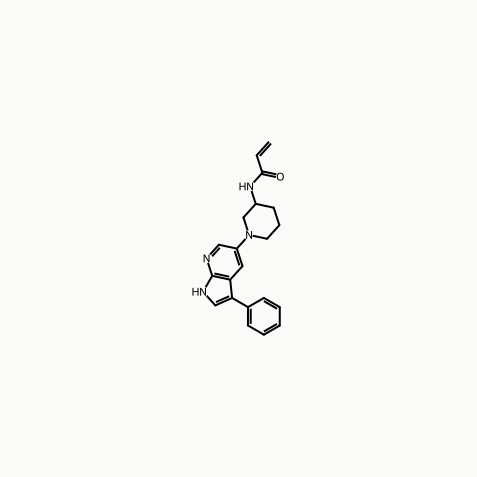 C=CC(=O)NC1CCCN(c2cnc3[nH]cc(-c4ccccc4)c3c2)C1